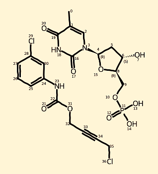 Cc1cn([C@H]2C[C@H](O)[C@@H](COP(=O)(O)O)O2)c(=O)[nH]c1=O.O=C(Nc1cccc(Cl)c1)OCC#CCCl